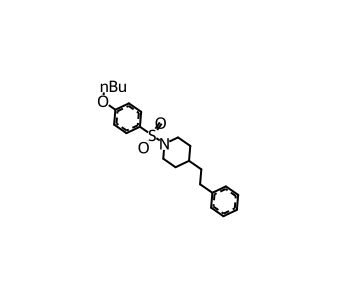 CCCCOc1ccc(S(=O)(=O)N2CCC(CCc3ccccc3)CC2)cc1